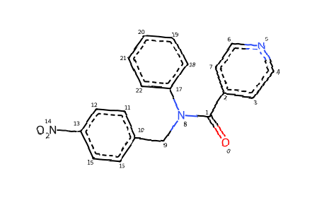 O=C(c1ccncc1)N(Cc1ccc([N+](=O)[O-])cc1)c1ccccc1